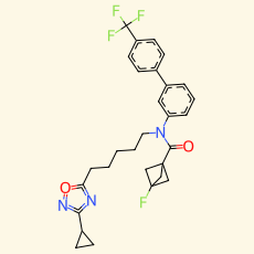 O=C(N(CCCCCc1nc(C2CC2)no1)c1cccc(-c2ccc(C(F)(F)F)cc2)c1)C12CC(F)(C1)C2